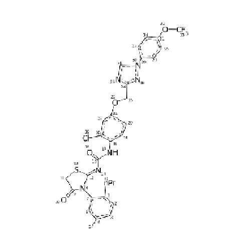 CCCc1ccc(C)cc1N1C(=O)CS/C1=N\C(=O)Nc1ccc(OCc2ncn(-c3ccc(OC(F)(F)F)cc3)n2)cc1Cl